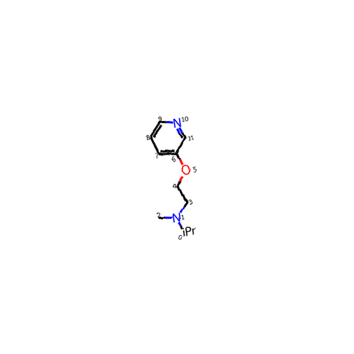 CC(C)N(C)CCOc1cccnc1